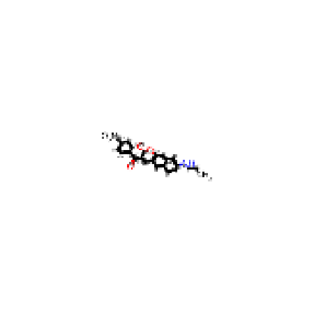 C=CCNc1ccc2cc3cc(C(=O)c4ccc([N+](=O)[O-])cc4)c(=O)oc3cc2c1